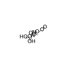 COc1ccc(COc2nc(=O)n([C@H]3CC(O)[C@@H](CO)O3)cc2C)cc1